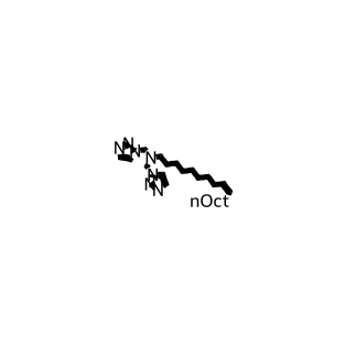 CCCCCCCC/C=C\CCCCCCCCN(Cn1ccnn1)Cn1ccnn1